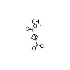 COC(=O)[C@]12C[C@@](C(=O)Cl)(C1)C2